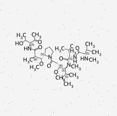 CC[C@H](C)[C@@H]([C@@H](CC(=O)N1CCC[C@H]1C(OC)[C@@H](C)C(=O)N[C@H](C(C)=O)C(C)O)OC)N(C)C(=O)[C@@H](NC(=O)[C@@H](NC)C(C)C)C(C)C